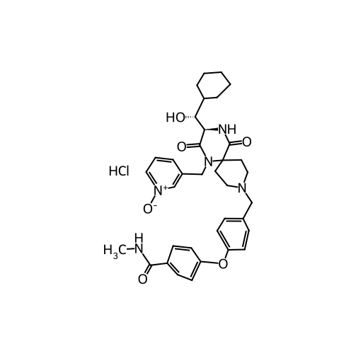 CNC(=O)c1ccc(Oc2ccc(CN3CCC4(CC3)C(=O)N[C@H]([C@H](O)C3CCCCC3)C(=O)N4Cc3ccc[n+]([O-])c3)cc2)cc1.Cl